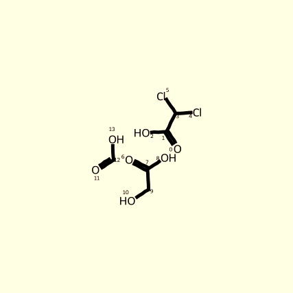 O=C(O)C(Cl)Cl.O=C(O)CO.O=CO